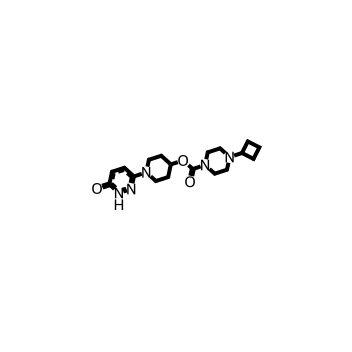 O=C(OC1CCN(c2ccc(=O)[nH]n2)CC1)N1CCN(C2CCC2)CC1